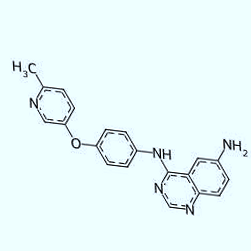 Cc1ccc(Oc2ccc(Nc3ncnc4ccc(N)cc34)cc2)cn1